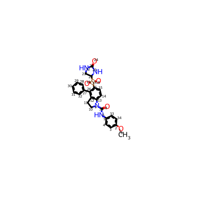 COc1ccc(NC(=O)N2CCc3c2ccc(S(=O)(=O)C2CNC(=O)N2)c3-c2ccccc2)cc1